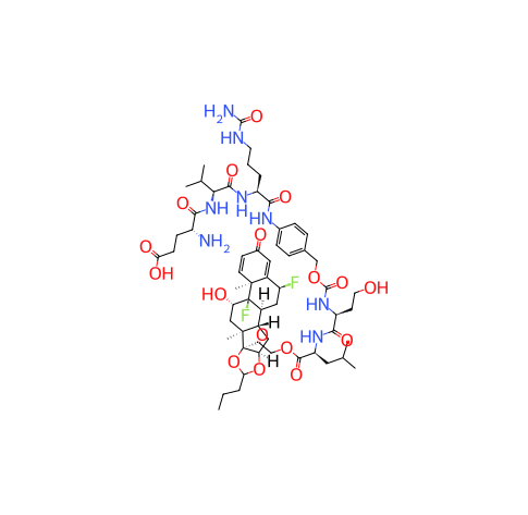 CCCC1O[C@@H]2C[C@H]3[C@@H]4C[C@H](F)C5=CC(=O)C=C[C@]5(C)[C@@]4(F)[C@@H](O)C[C@]3(C)[C@]2(C(=O)COC(=O)[C@H](CC(C)C)NC(=O)[C@H](CCO)NC(=O)OCc2ccc(NC(=O)[C@H](CCCNC(N)=O)NC(=O)[C@@H](NC(=O)[C@H](N)CCC(=O)O)C(C)C)cc2)O1